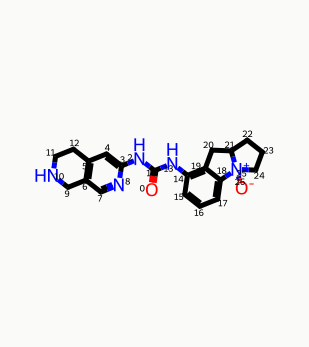 O=C(Nc1cc2c(cn1)CNCC2)Nc1cccc2c1CC1CCC[N+]21[O-]